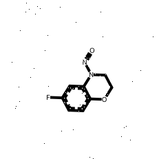 O=NN1CCOc2ccc(F)cc21